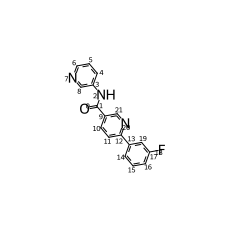 O=C(Nc1cccnc1)c1ccc(-c2cccc(F)c2)nc1